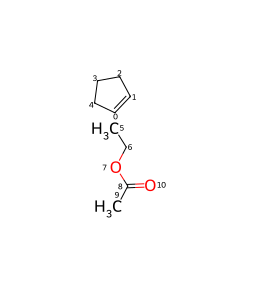 C1=CCCC1.CCOC(C)=O